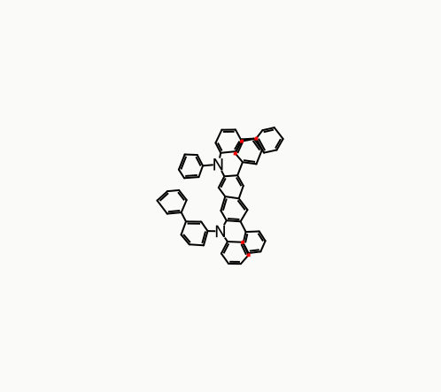 c1ccc(-c2cccc(N(c3ccccc3)c3cc4cc(N(c5ccccc5)c5cccc(-c6ccccc6)c5)c(-c5ccccc5)cc4cc3-c3ccccc3)c2)cc1